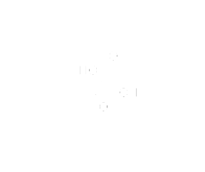 CC(C)CC(=O)C(O)C(O)C(=O)C(C)C